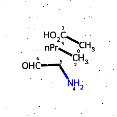 CC(=O)O.CCCC.NCC=O